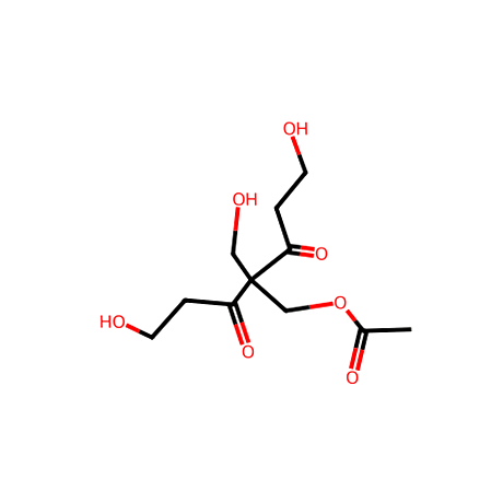 CC(=O)OCC(CO)(C(=O)CCO)C(=O)CCO